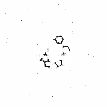 C[C@@]1(O)[C@H](O)C(OP2(=O)OCC[C@H](c3cccc(C(F)(F)F)c3)O2)O[C@H]1n1ccc2c(=O)[nH]c(N)nc21